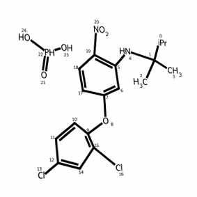 CC(C)C(C)(C)Nc1cc(Oc2ccc(Cl)cc2Cl)ccc1[N+](=O)[O-].O=[PH](O)O